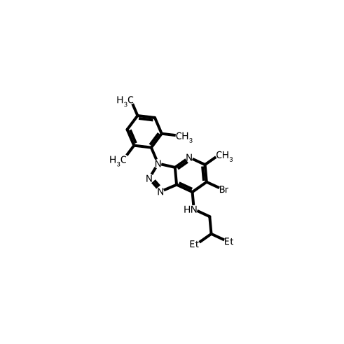 CCC(CC)CNc1c(Br)c(C)nc2c1nnn2-c1c(C)cc(C)cc1C